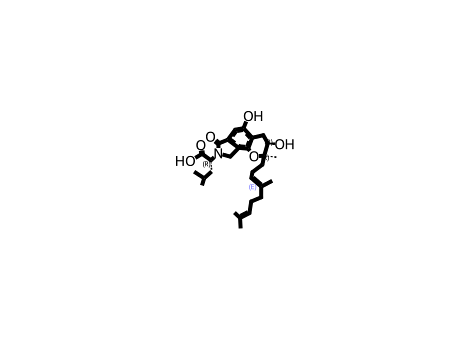 CC(C)=CCC/C(C)=C/CC[C@@]1(C)Oc2c(c(O)cc3c2CN([C@H](CC(C)C)C(=O)O)C3=O)C[C@H]1O